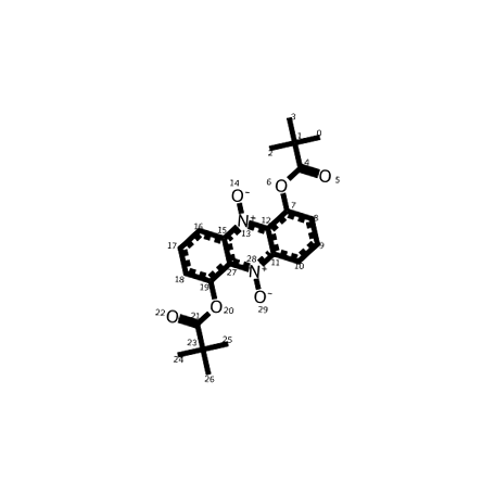 CC(C)(C)C(=O)Oc1cccc2c1[n+]([O-])c1cccc(OC(=O)C(C)(C)C)c1[n+]2[O-]